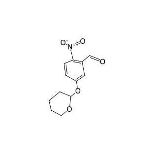 O=Cc1cc(OC2CCCCO2)ccc1[N+](=O)[O-]